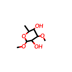 COC1OC(C)C(O)C(OC)C1O